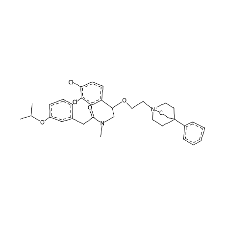 CC(C)Oc1cccc(CC(=O)N(C)CC(OCC[N+]23CCC(c4ccccc4)(CC2)CC3)c2ccc(Cl)c(Cl)c2)c1